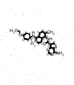 CCOC1=CCC(C)(Nc2nccc3c(NC(=O)c4csc5c(N)ncnc45)c(C)ccc23)C=C1